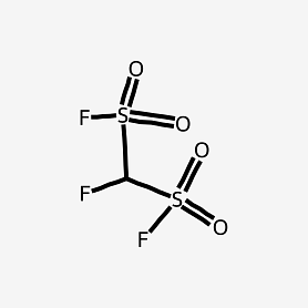 O=S(=O)(F)C(F)S(=O)(=O)F